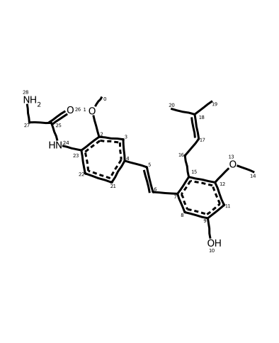 COc1cc(/C=C/c2cc(O)cc(OC)c2CC=C(C)C)ccc1NC(=O)CN